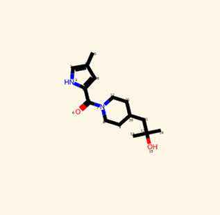 Cc1c[nH]c(C(=O)N2CCC(CC(C)(C)O)CC2)c1